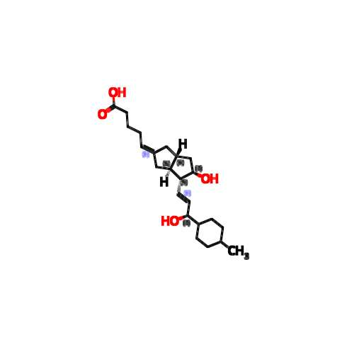 CC1CCC([C@@H](O)/C=C/[C@@H]2[C@H]3C/C(=C/CCCC(=O)O)C[C@@H]3C[C@H]2O)CC1